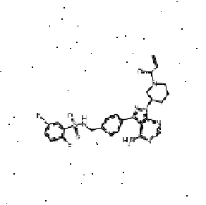 C=CC(=O)N1CCCC(n2nc(-c3ccc(CNS(=O)(=O)c4cc(F)ccc4F)cc3)c3c(N)ncnc32)C1